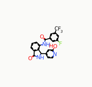 O=C(Nc1cccc2c1C(c1ccnc(O)c1)NC2=O)c1cc(F)cc(C(F)(F)F)c1